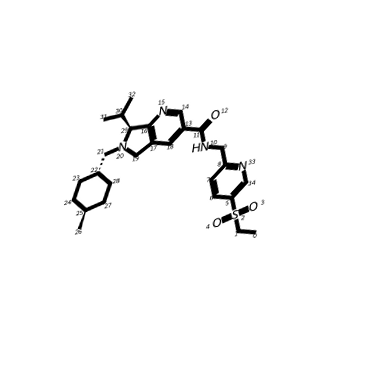 CCS(=O)(=O)c1ccc(CNC(=O)c2cnc3c(c2)CN(C[C@H]2CC[C@H](C)CC2)[C@H]3C(C)C)nc1